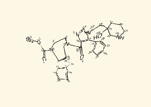 CC(C)(C)OC(=O)N1CCN(C(=O)c2ncn(CC3(O)CCCNC3)c2-c2ccccc2)[C@H](Cc2ccccc2)C1